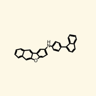 c1ccc2cc3c(cc2c1)oc1ccc(Nc2ccc(-c4cccc5ccccc45)cc2)cc13